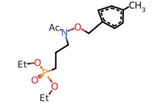 CCOP(=O)(CCCN(OCc1ccc(C)cc1)C(C)=O)OCC